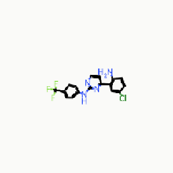 Nc1ccc(Cl)cc1-c1ccnc(Nc2ccc(C(F)(F)F)cc2)n1